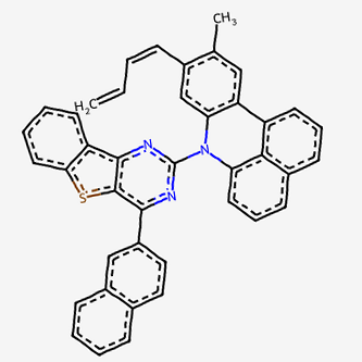 C=C/C=C\c1cc2c(cc1C)-c1cccc3cccc(c13)N2c1nc(-c2ccc3ccccc3c2)c2sc3ccccc3c2n1